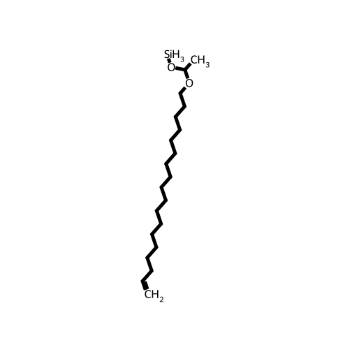 C=CCCCCCCCCCCCCCCCCOC(C)O[SiH3]